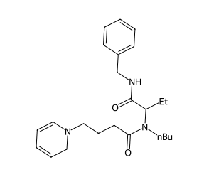 CCCCN(C(=O)CCCN1C=CC=CC1)C(CC)C(=O)NCc1ccccc1